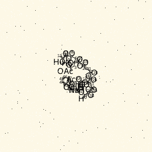 CC(=O)OC(=O)CC(O)(CC(=O)OC(=O)C(C)O)C(=O)OC(=O)CCC(=O)OC(=O)C(O)(CC(=O)OC(C)=O)CC(=O)OC(=O)C(C)O.O=C(O)c1ccccc1O.[NaH].[NaH]